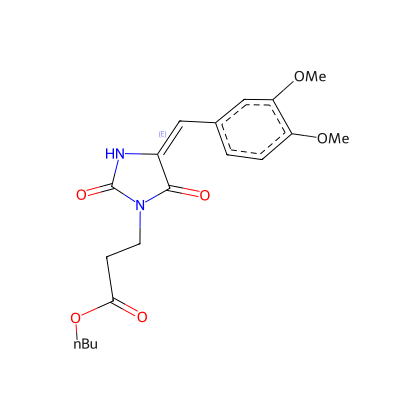 CCCCOC(=O)CCN1C(=O)N/C(=C/c2ccc(OC)c(OC)c2)C1=O